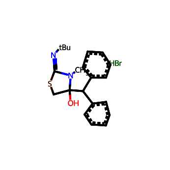 Br.CN1/C(=N\C(C)(C)C)SCC1(O)C(c1ccccc1)c1ccccc1